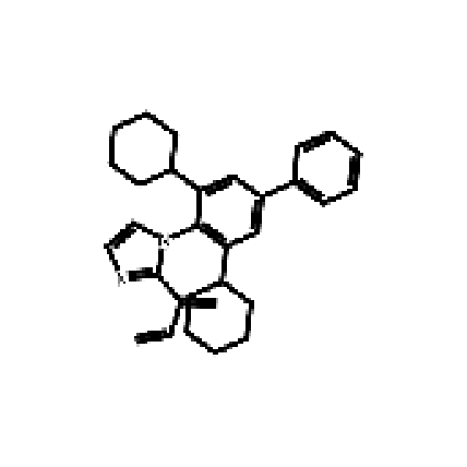 C=CC(=C)c1nccn1-c1c(C2CCCCC2)cc(-c2ccccc2)cc1C1CCCCC1